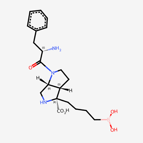 N[C@@H](Cc1ccccc1)C(=O)N1CC[C@H]2[C@@H]1CN[C@@]2(CCCCB(O)O)C(=O)O